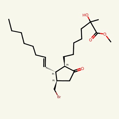 CCCCCCC=C[C@H]1[C@H](CBr)CC(=O)[C@@H]1CCCCCC(C)(O)C(=O)OC